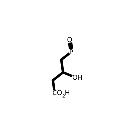 O=PCC(O)CC(=O)O